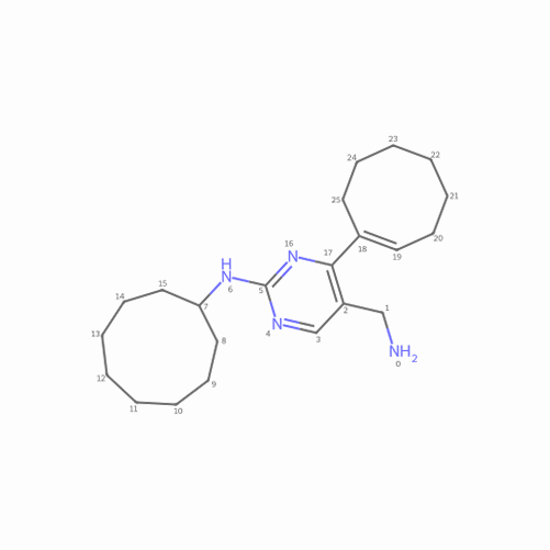 NCc1cnc(NC2CCCCCCCC2)nc1/C1=C/CCCCCC1